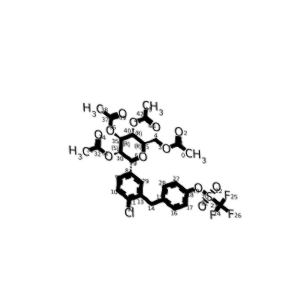 CC(=O)OC[C@H]1O[C@H](c2ccc(Cl)c(Cc3ccc(OS(=O)(=O)C(F)(F)F)cc3)c2)[C@H](OC(C)=O)[C@@H](OC(C)=O)[C@@H]1OC(C)=O